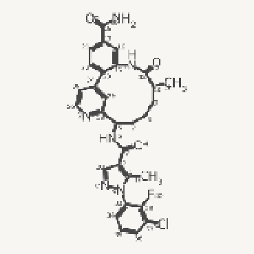 Cc1c(C(=O)NC2CCC[C@H](C)C(=O)Nc3cc(C(N)=O)ccc3-c3ccnc2c3)cnn1-c1cccc(Cl)c1F